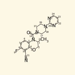 CC1COc2c(ccc(F)c2C#N)N1C(=O)N1CCN(c2ncccn2)CC1